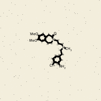 COc1cc2c(cc1OC)CC(=O)N(CCCN(C)CCc1ccc(Cl)c(N)c1)CC2